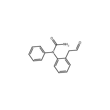 NC(=O)N(c1ccccc1)c1ccccc1CC=O